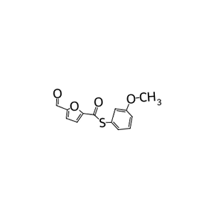 COc1cccc(SC(=O)c2ccc(C=O)o2)c1